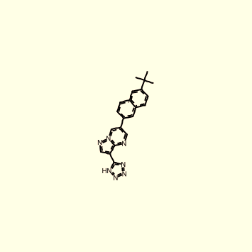 CC(C)(C)c1ccc2cc(-c3cnc4c(-c5nnn[nH]5)cnn4c3)ccc2c1